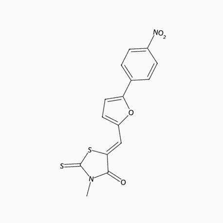 CN1C(=O)C(=Cc2ccc(-c3ccc([N+](=O)[O-])cc3)o2)SC1=S